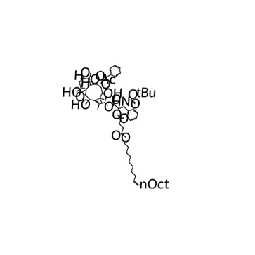 CCCCCCCC/C=C\CCCCCCCCOC(=O)CCC(=O)O[C@@H](C(=O)O[C@H]1C[C@@]2(O)[C@@H](OC(=O)c3ccccc3)C[C@@H]3[C@]4(OC(C)=O)CO[C@@H]4C[C@H](O)[C@@]3(C)C(=O)[C@H](O)C(=C1C)C2(C)C)[C@@H](NC(=O)OC(C)(C)C)c1ccccc1